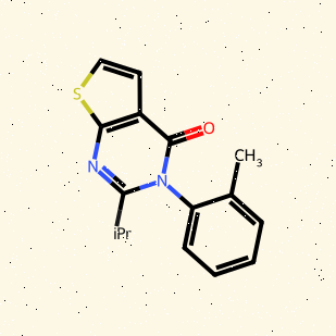 Cc1ccccc1-n1c(C(C)C)nc2sccc2c1=O